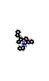 c1ccc2cc(-c3nc4ccc5ccccc5c4nc3-n3c4ccccc4c4c5sc6c7ccccc7ccc6c5c5ccccc5c43)ccc2c1